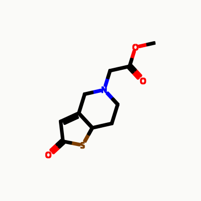 COC(=O)CN1CCC2SC(=O)C=C2C1